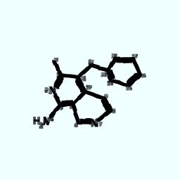 Cc1nc(N)c2cnccc2c1Cc1ccccc1